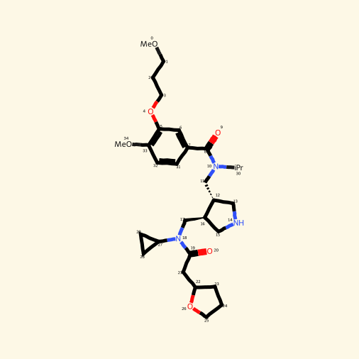 COCCCOc1cc(C(=O)N(C[C@@H]2CNC[C@H]2CN(C(=O)CC2CCCO2)C2CC2)C(C)C)ccc1OC